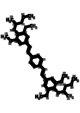 CCc1cc(/C=C/c2ccc(/C=C/c3cc(OC)c(OC(C)COC)c(OC)c3)cc2)cc(OC)c1OC(C)COC